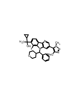 COc1nnn(C)c1-c1cnc2c3ccc(C(C)(O)C4CC4)c(F)c3n(C(c3ccccc3)C3CCOCC3)c2c1